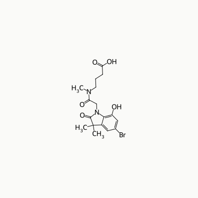 CN(CCCC(=O)O)C(=O)CN1C(=O)C(C)(C)c2cc(Br)cc(O)c21